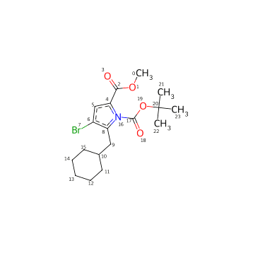 COC(=O)c1cc(Br)c(CC2CCCCC2)n1C(=O)OC(C)(C)C